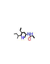 C=CC(=O)Nc1cnc(C(C)CC)c(C=C)c1